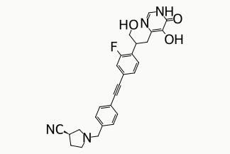 N#C[C@@H]1CCN(Cc2ccc(C#Cc3ccc(C(CO)Cc4nc[nH]c(=O)c4O)c(F)c3)cc2)C1